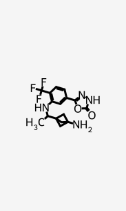 CC(Nc1cc(-c2n[nH]c(=O)o2)ccc1C(F)(F)F)C12CC(N)(C1)C2